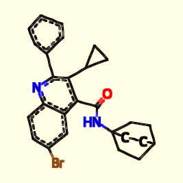 O=C(NC12CCC(CC1)CC2)c1c(C2CC2)c(-c2ccccc2)nc2ccc(Br)cc12